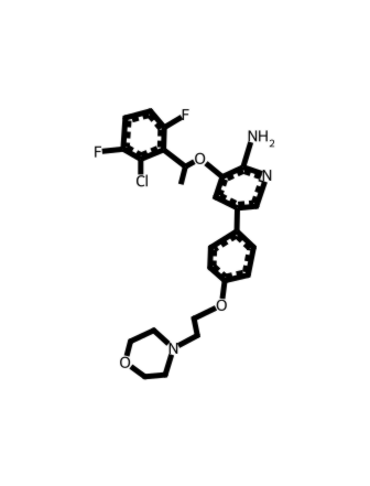 CC(Oc1cc(-c2ccc(OCCN3CCOCC3)cc2)cnc1N)c1c(F)ccc(F)c1Cl